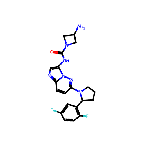 NC1CN(C(=O)Nc2cnc3ccc(N4CCCC4c4cc(F)ccc4F)nn23)C1